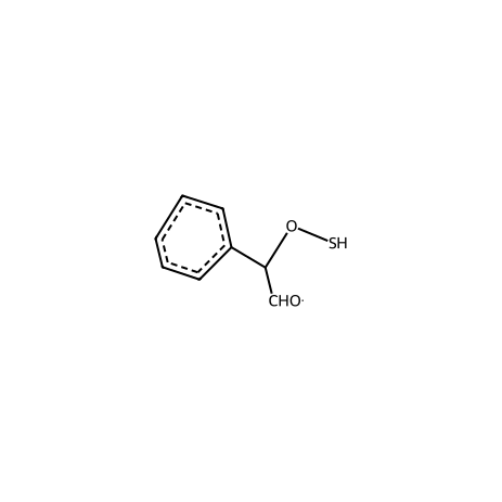 O=[C]C(OS)c1ccccc1